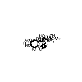 CC[C@H](OC)C(C)OC(C)C(NCc1ccc(Cl)cc1F)C(C)(O)/C=C/C=C(\C)[C@H]1OC(=O)CC(O)CCC(C)(O)[C@@H](OC(C)=O)/C=C/C1C